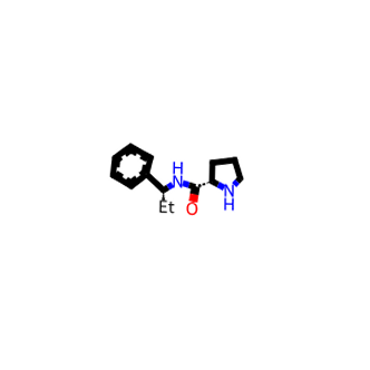 CC[C@@H](NC(=O)[C@@H]1CCCN1)c1ccccc1